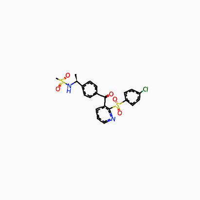 C[C@H](NS(C)(=O)=O)c1ccc(C(=O)c2cccnc2S(=O)(=O)c2ccc(Cl)cc2)cc1